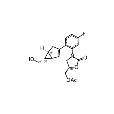 CC(=O)OC[C@H]1CN(c2cc(F)ccc2C2=CC3[C@H](CO)[C@H]3C2)C(=O)O1